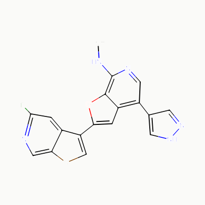 CNc1ncc(-c2cn[nH]c2)c2cc(-c3csc4cnc(F)cc34)oc12